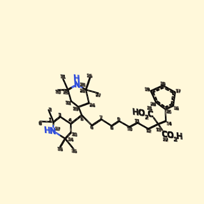 CC1(C)CC(C(CCCCCCCC(Cc2ccccc2)(C(=O)O)C(=O)O)C2CC(C)(C)NC(C)(C)C2)CC(C)(C)N1